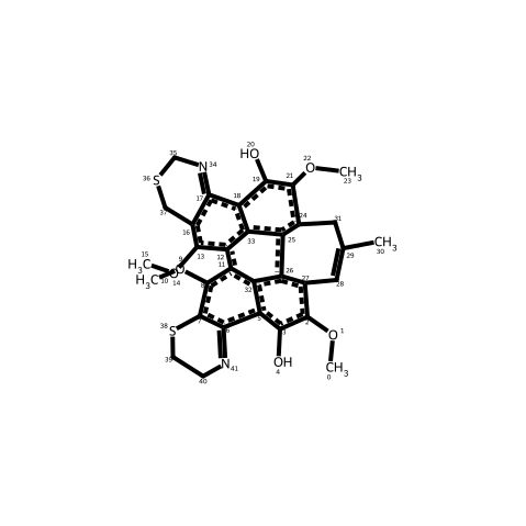 COc1c(O)c2c3c(c(OC)c4c5c(OC)c6c(c7c(O)c(OC)c8c(c(c1C=C(C)C8)c24)c75)=NCSC6)SCCN=3